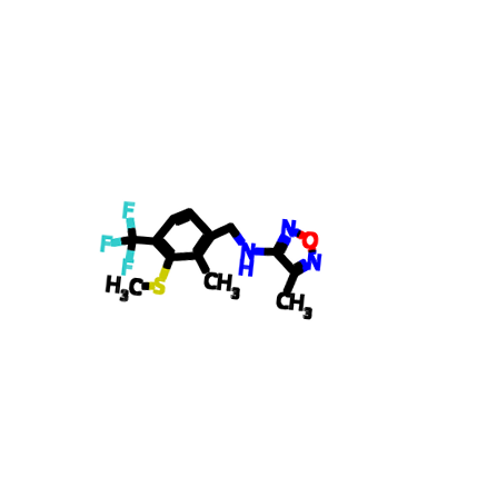 CSc1c(C(F)(F)F)ccc(CNc2nonc2C)c1C